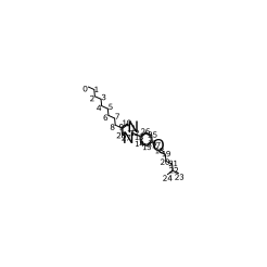 CCCCCCCCCc1cnc(-c2ccc(OCCCCC(C)C)cc2)nc1